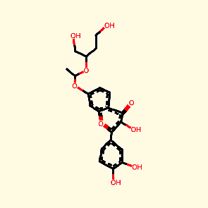 CC(Oc1ccc2c(=O)c(O)c(-c3ccc(O)c(O)c3)oc2c1)OC(CO)CCO